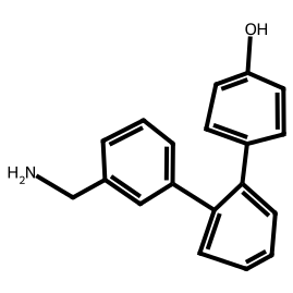 NCc1cccc(-c2ccccc2-c2ccc(O)cc2)c1